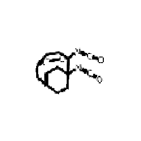 O=C=NC12CCC(CC1)CC1CCC2(N=C=O)CC1